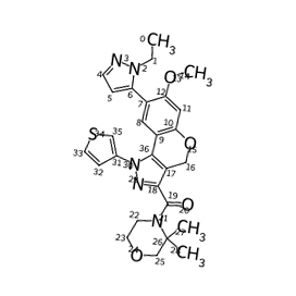 CCn1nccc1-c1cc2c(cc1OC)OCc1c(C(=O)N3CCOCC3(C)C)nn(-c3ccsc3)c1-2